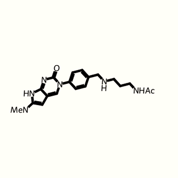 CNc1cc2cn(-c3ccc(CNCCCNC(C)=O)cc3)c(=O)nc2[nH]1